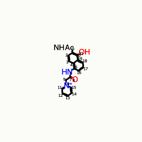 CC(=O)Nc1ccc2c(NC(=O)C[n+]3ccccc3)cccc2c1O